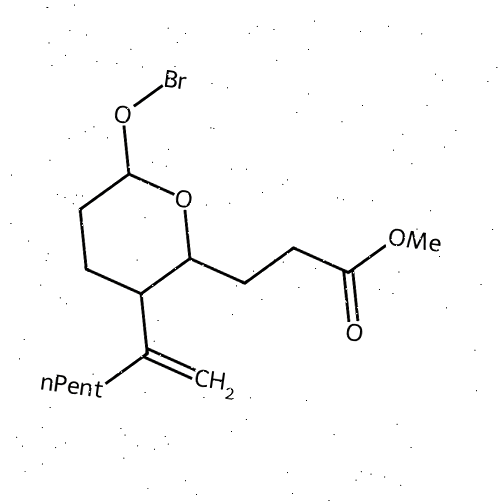 C=C(CCCCC)C1CCC(OBr)OC1CCC(=O)OC